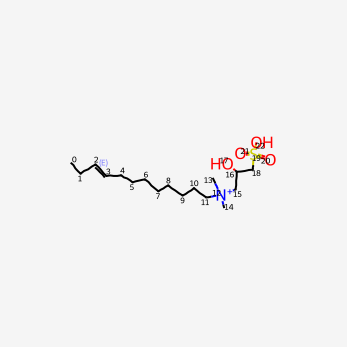 CC/C=C/CCCCCCCC[N+](C)(C)CC(O)CS(=O)(=O)O